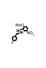 COc1ccc([N+](=O)[O-])cc1CS(=O)(=O)/C=C/c1ccc(F)cc1